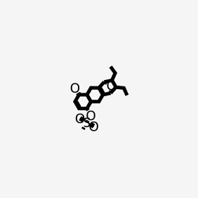 CCC1C2OC(C3=C2CC2C(=O)C=CC(OS(C)(=O)=O)C2C3)C1CC